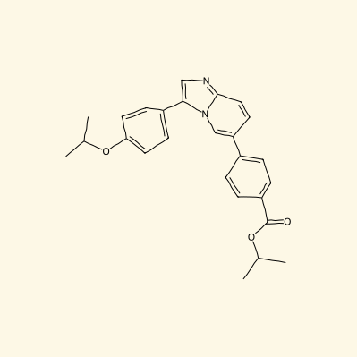 CC(C)OC(=O)c1ccc(-c2ccc3ncc(-c4ccc(OC(C)C)cc4)n3c2)cc1